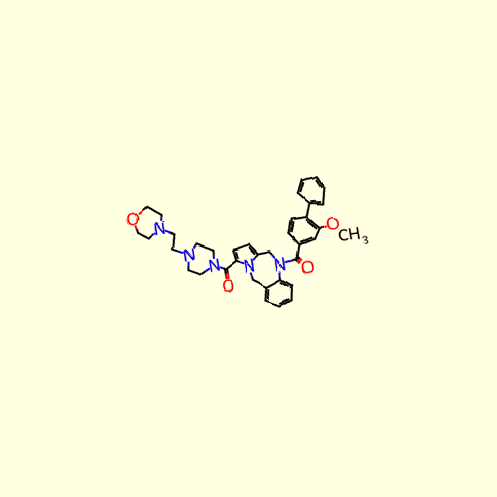 COc1cc(C(=O)N2Cc3ccc(C(=O)N4CCN(CCN5CCOCC5)CC4)n3Cc3ccccc32)ccc1-c1ccccc1